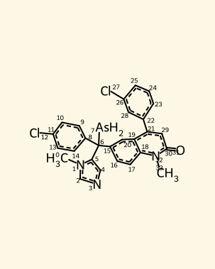 Cn1cncc1C([AsH2])(c1ccc(Cl)cc1)c1ccc2c(c1)c(-c1cccc(Cl)c1)cc(=O)n2C